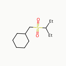 CCC(CC)S(=O)(=O)CC1CCCCC1